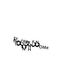 CCOc1cc(OC)c(-c2cncc(C(=O)N/N=C/c3cc(OC)cnc3F)n2)cn1